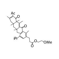 COCCOC(=O)CCc1cc(C(C)C)c2c(c1C)C(=O)C1=C(C)C3(C)C(=O)C(C(C)=O)=C(C)CC3(C)CC1(C)C2